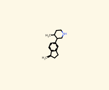 C=C1CCc2cc(C3CNCCC3C)ccc21